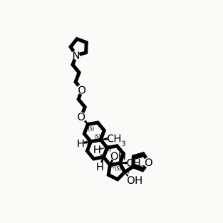 C[C@]12CC[C@H](OCCOCCCN3CCCC3)C[C@H]1CC[C@@H]1[C@@H]2CC[C@]2(C)[C@@](O)(c3ccoc3)CC[C@]12O